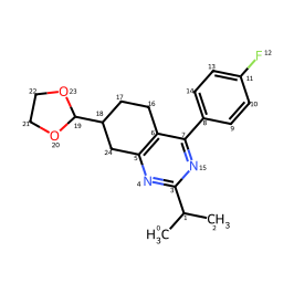 CC(C)c1nc2c(c(-c3ccc(F)cc3)n1)CCC(C1OCCO1)C2